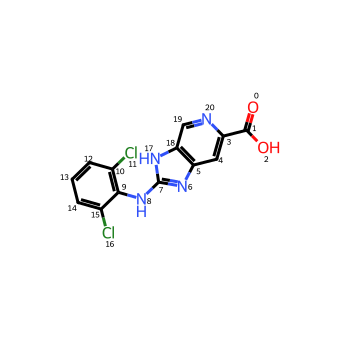 O=C(O)c1cc2nc(Nc3c(Cl)cccc3Cl)[nH]c2cn1